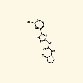 Cc1nc(NC(=O)NC2CCOC2=O)sc1-c1ccnc(C(C)(C)C)n1